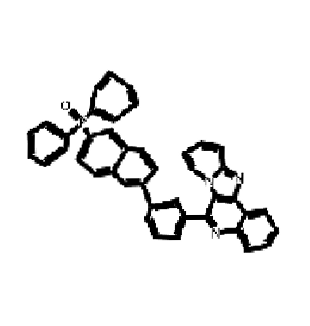 O=P(c1ccccc1)(c1ccccc1)c1ccc2cc(-c3cccc(-c4nc5ccccc5c5nc6ccccn6c45)c3)ccc2c1